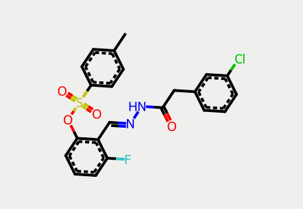 Cc1ccc(S(=O)(=O)Oc2cccc(F)c2C=NNC(=O)Cc2cccc(Cl)c2)cc1